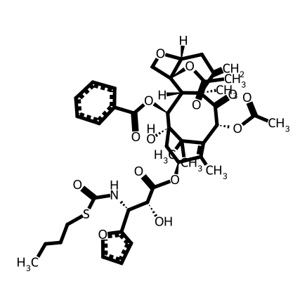 C=C1C[C@H]2OC[C@@]2(OC(C)=O)[C@H]2[C@H](OC(=O)c3ccccc3)[C@]3(O)C[C@H](OC(=O)[C@H](O)[C@@H](NC(=O)SCCCC)c4ccco4)C(C)=C([C@@H](OC(C)=O)C(=O)[C@]12C)C3(C)C